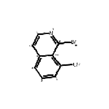 Clc1cccc2ccnc(Br)c12